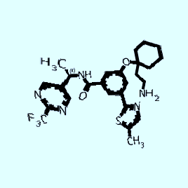 Cc1cnc(-c2cc(OC3(CCN)CCCCC3)cc(C(=O)N[C@H](C)c3cnc(C(F)(F)F)nc3)c2)s1